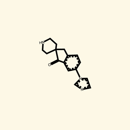 O=C1c2cc(-n3ccnc3)ccc2CC12CCNCC2